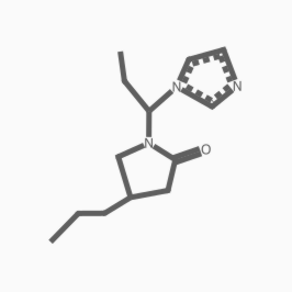 CCCC1CC(=O)N(C(CC)n2ccnc2)C1